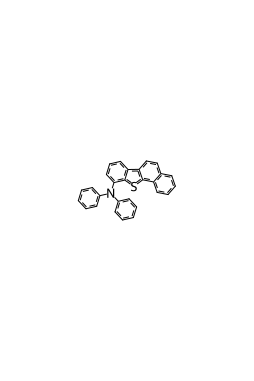 c1ccc(N(c2ccccc2)c2cccc3c2sc2c4ccccc4ccc32)cc1